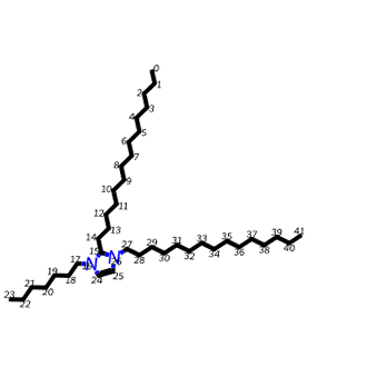 CCCCCCCCCCCCCCCC1N(CCCCCCC)C=CN1CCCCCCCCCCCCCCC